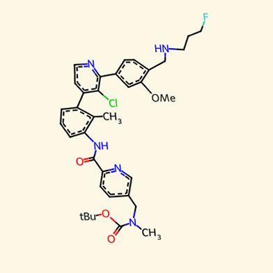 COc1cc(-c2nccc(-c3cccc(NC(=O)c4ccc(CN(C)C(=O)OC(C)(C)C)cn4)c3C)c2Cl)ccc1CNCCCF